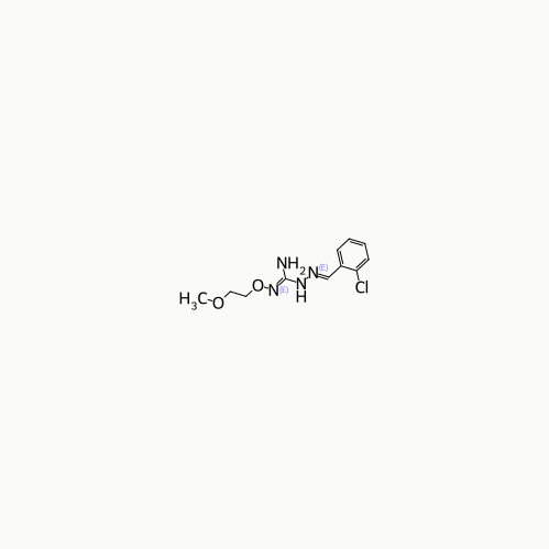 COCCO/N=C(\N)N/N=C/c1ccccc1Cl